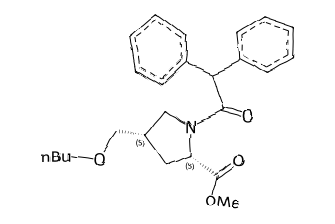 CCCCOC[C@H]1C[C@@H](C(=O)OC)N(C(=O)C(c2ccccc2)c2ccccc2)C1